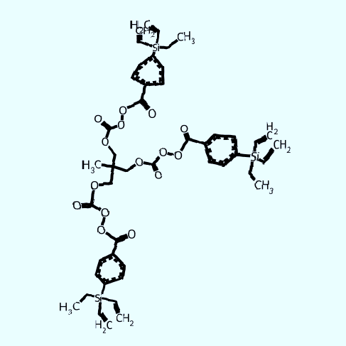 C=C[Si](C=C)(CC)c1ccc(C(=O)OOC(=O)OCC(C)(COC(=O)OOC(=O)c2ccc([Si](C=C)(C=C)CC)cc2)COC(=O)OOC(=O)c2ccc([Si](C=C)(C=C)CC)cc2)cc1